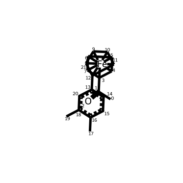 CC(=O)[C]12[CH]3[CH]4[CH]5[CH]1[Fe]45321678[CH]2[CH]1[CH]6[C]7(c1ccc(C)c(C)c1)[CH]28